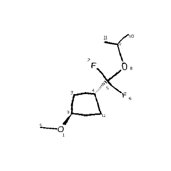 CO[C@H]1C[C@H](C(F)(F)OC(C)C)C1